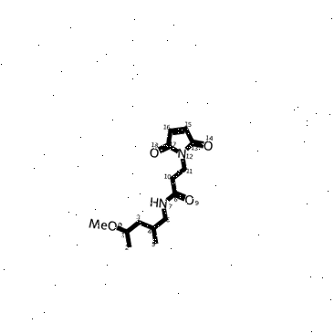 COC(C)CC(C)CNC(=O)CCN1C(=O)C=CC1=O